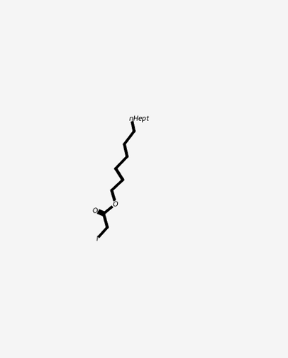 CCCCCCCCCCCCCOC(=O)CI